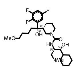 CNC[C@@H](NC(=O)N1CCC[C@@H]([C@@](O)(CCCCOC)c2cc(F)cc(F)c2F)C1)[C@@H](O)C1CCCCC1